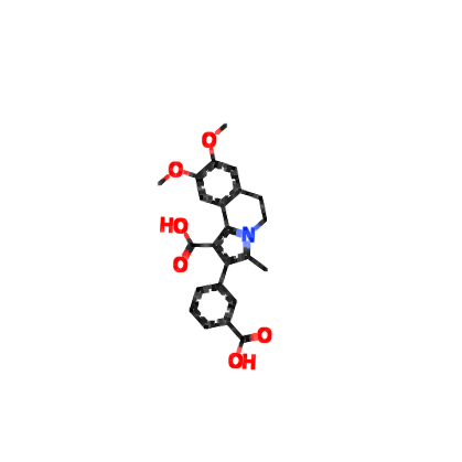 COc1cc2c(cc1OC)-c1c(C(=O)O)c(-c3cccc(C(=O)O)c3)c(C)n1CC2